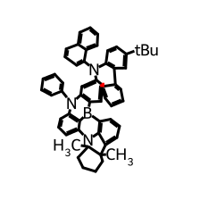 CC(C)(C)c1ccc(N(c2ccc3c(c2)N(c2ccccc2)c2cccc4c2B3c2cccc3c2N4C2(C)CCCCC32C)c2cccc3ccccc23)c(-c2ccccc2)c1